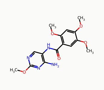 COc1ncc(NC(=O)c2cc(OC)c(OC)cc2OC)c(N)n1